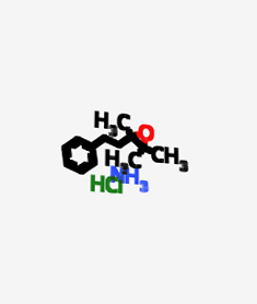 CC1(C)OC1(C)CCc1ccccc1.Cl.N